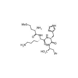 CSCC[C@H](N)C(=O)N[C@@H](CCCCN)C(=O)N[C@@H](Cc1c[nH]cn1)C(=O)N[C@@H](CC(C)C)C(=O)O